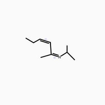 CC/C=C\C(C)=N/C(C)C